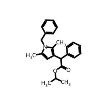 Cc1cc(C(C(=O)OC(C)C)c2ccccc2)c(C)n1Cc1ccccc1